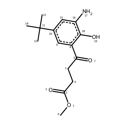 COC(=O)CCC(=O)c1cc(C(C)(C)C)cc(N)c1O